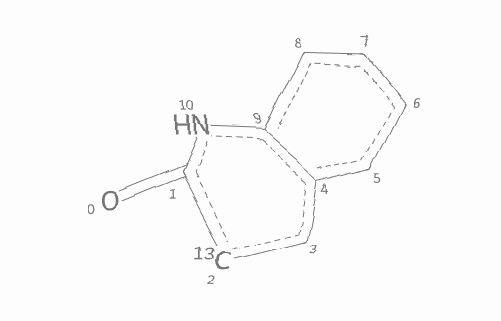 O=c1[13cH]cc2ccccc2[nH]1